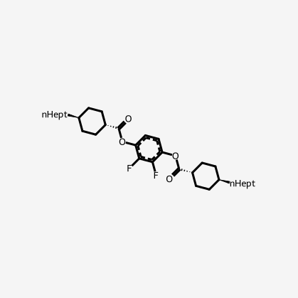 CCCCCCC[C@H]1CC[C@H](C(=O)Oc2ccc(OC(=O)[C@H]3CC[C@H](CCCCCCC)CC3)c(F)c2F)CC1